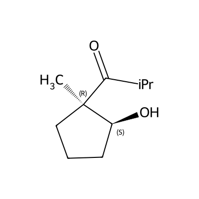 CC(C)C(=O)[C@]1(C)CCC[C@@H]1O